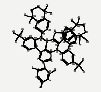 Cc1cc(C)c(-c2cc3c4c(c2)N(c2ccc(C(C)(C)C)cc2-c2ccccc2)c2c(oc5cc6c(cc25)C(C)(C)CCC6(C)C)B4N(c2ccc4c(c2)C(C)(C)CCC4(C)C)c2cc(C(C)(C)C)ccc2-3)c(C)c1